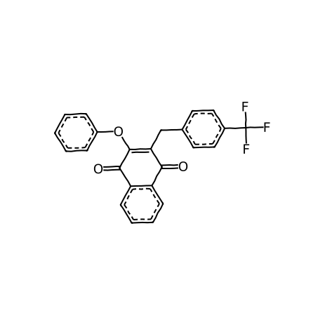 O=C1C(Cc2ccc(C(F)(F)F)cc2)=C(Oc2ccccc2)C(=O)c2ccccc21